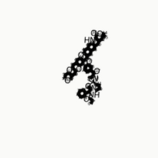 C[CH]C(=O)N[C@H](C(=O)N1CCC[C@H]1c1nc(C(=O)c2cccc(OC3C4CC5CC6CC7CC(C)(C)OC(=O)C7NC6CC5CC4OC4CC5CC6OC7CCOCC7CC6OC5CC43)c2)cs1)C1CCCCC1